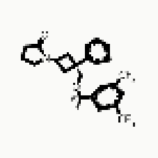 C[C@@H](OC[C@]1(c2ccccc2)C[C@@H](N2CCCC2=O)C1)c1cc(C(F)(F)F)cc(C(F)(F)F)c1